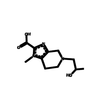 CC(O)CN1CCc2c(nc(C(=O)O)n2C)C1